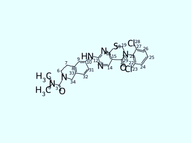 CN(C)C(=O)N1CCc2cc(Nc3ncc4c(n3)SCN(c3c(Cl)cccc3Cl)C4=O)ccc2C1